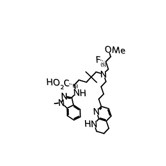 COC[C@@H](F)CN(CCCCc1ccc2c(n1)NCCC2)CC(C)(C)CC[C@H](Nc1nn(C)c2ccccc12)C(=O)O